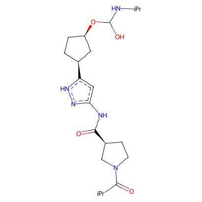 CC(C)NC(O)O[C@@H]1CC[C@H](c2cc(NC(=O)[C@H]3CCN(C(=O)C(C)C)C3)n[nH]2)C1